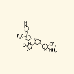 Cn1cc(-c2cc(-c3cnc(N)c(C(F)(F)F)c3)ccn2)n(-c2ccc(N3CCNCC3)c(C(F)(F)F)c2)c1=O